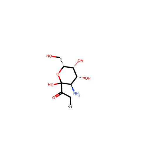 [2H]CC(=O)C1(O)O[C@H](CO)[C@H](O)[C@H](O)[C@H]1N